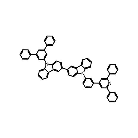 c1ccc(-c2cc(-c3ccccc3)cc(-n3c4ccccc4c4cc(-c5ccc6c(c5)c5ccccc5n6-c5cccc(-c6cc(-c7ccccc7)nc(-c7ccccc7)c6)c5)ccc43)c2)cc1